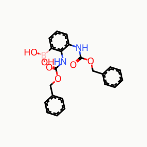 O=C(Nc1cccc(B(O)O)c1NC(=O)OCc1ccccc1)OCc1ccccc1